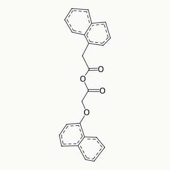 O=C(COc1cccc2ccccc12)OC(=O)Cc1cccc2ccccc12